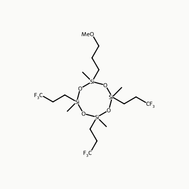 COCCC[Si]1(C)O[Si](C)(CCC(F)(F)F)O[Si](C)(CCC(F)(F)F)O[Si](C)(CCC(F)(F)F)O1